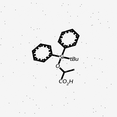 CC(O[Si](c1ccccc1)(c1ccccc1)C(C)(C)C)C(=O)O